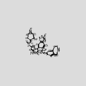 CC1=C(C(=O)Nc2ccc3cnccc3c2)C(c2ccc(C(F)(F)F)c(F)c2)n2nc(CN(C)CC3CCN(C)CC3)cc2N1